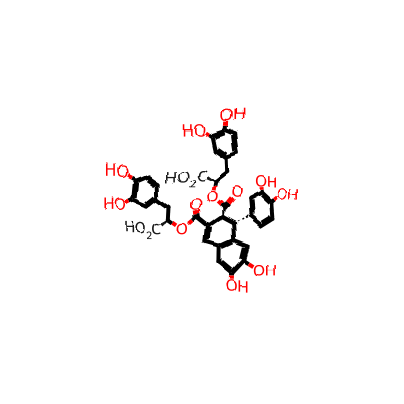 O=C(O[C@H](Cc1ccc(O)c(O)c1)C(=O)O)C1=Cc2cc(O)c(O)cc2[C@@H](c2ccc(O)c(O)c2)[C@@H]1C(=O)O[C@H](Cc1ccc(O)c(O)c1)C(=O)O